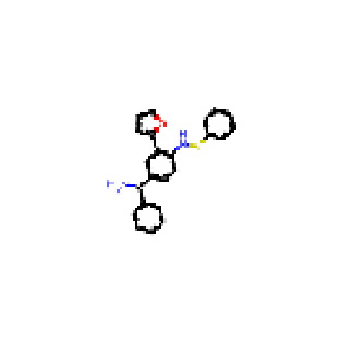 NC(c1ccccc1)c1ccc(NSc2ccccc2)c(-c2ccco2)c1